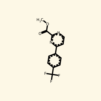 COC(=O)c1nccc(-c2ccc(C(F)(F)F)cc2)n1